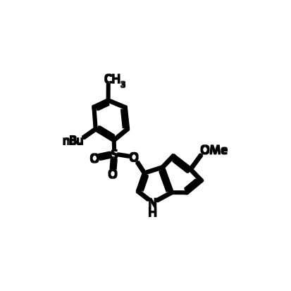 CCCCc1cc(C)ccc1S(=O)(=O)Oc1c[nH]c2ccc(OC)cc12